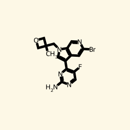 CC1(Cn2cc(-c3nc(N)ncc3F)c3cc(Br)ncc32)COC1